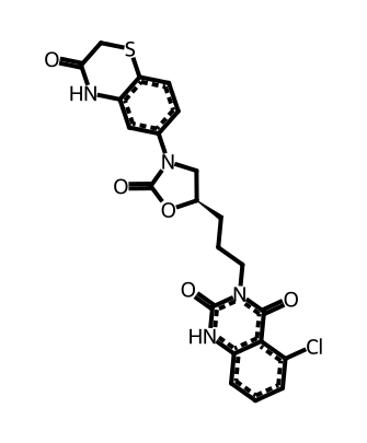 O=C1CSc2ccc(N3C[C@@H](CCCn4c(=O)[nH]c5cccc(Cl)c5c4=O)OC3=O)cc2N1